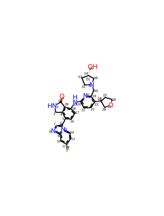 O=C1NCc2c(-c3cnc4cc(F)ccn34)ccc(Nc3ccc([C@H]4CCOC4)c(CN4CC[C@H](O)C4)n3)c21